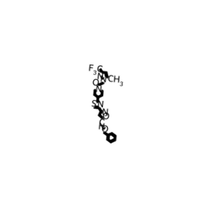 Cc1cc(C(F)(F)F)nn1CC(=O)N1CCC(c2nc(C3=NOC(=C=NOCc4ccccc4)C3)cs2)CC1